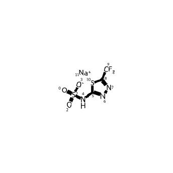 O=S(=O)([O-])Nc1nnc(C(F)(F)F)s1.[Na+]